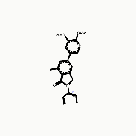 C=C/C(=C\C)N1Cc2nc(-c3cnc(OC)c(OC)c3)cc(C)c2C1=O